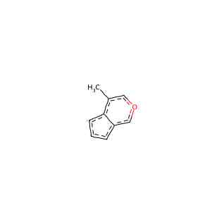 Cc1cocc2cc[c]c1-2